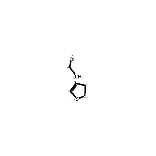 C1=CSSC1.CCO